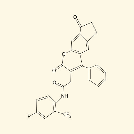 O=C(Cc1c(-c2ccccc2)c2cc3c(cc2oc1=O)C(=O)CC3)Nc1ccc(F)cc1C(F)(F)F